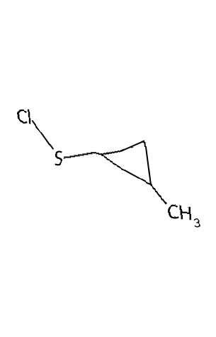 CC1CC1SCl